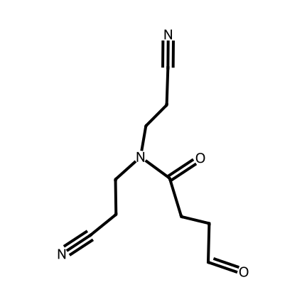 N#CCCN(CCC#N)C(=O)CCC=O